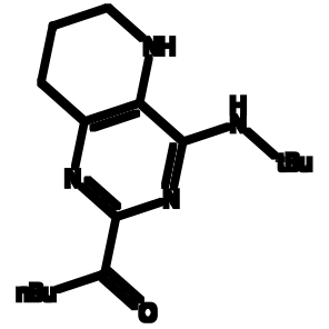 CCCCC(=O)c1nc2c(c(NC(C)(C)C)n1)NCCC2